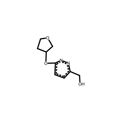 OCc1ccc(OC2CCOC2)nn1